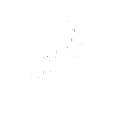 CC[C@H](C)[C@@H]([C@H](CC(=O)N1CCC[C@H]1[C@H](OC)[C@@H](C)C(=O)N[C@H](CO)Cc1ccccc1)OC)N(C)C(=O)[C@@H](NC(=O)N1C[C@@H](C)O[C@@H](C)C1)C(C)C